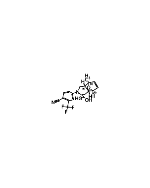 C[C@@]12C=C[C@@H](O1)[C@H]1[C@@H]2CN(c2ccc(C#N)c(C(F)(F)F)c2)S1(O)O